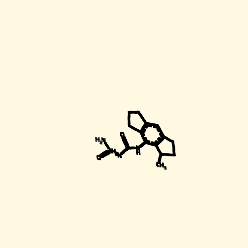 CC1CCc2cc3c(c(NC(=O)/N=[SH](\N)=O)c21)CCC3